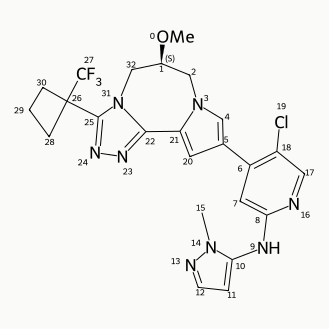 CO[C@H]1Cn2cc(-c3cc(Nc4ccnn4C)ncc3Cl)cc2-c2nnc(C3(C(F)(F)F)CCC3)n2C1